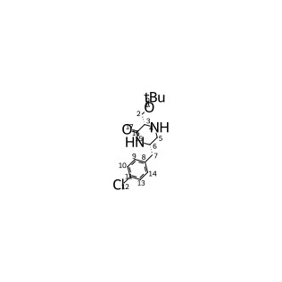 CC(C)(C)OC[C@@H]1NC[C@H](Cc2ccc(Cl)cc2)NC1=O